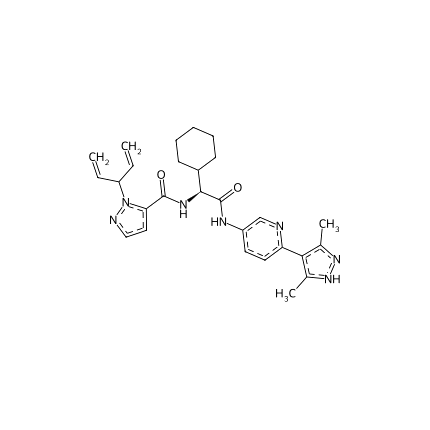 C=CC(C=C)n1nccc1C(=O)N[C@H](C(=O)Nc1ccc(-c2c(C)n[nH]c2C)nc1)C1CCCCC1